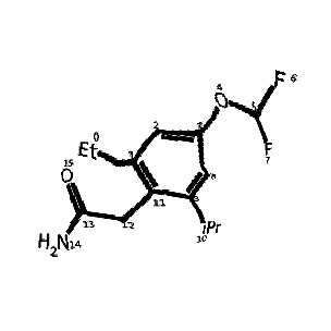 CCc1cc(OC(F)F)cc(C(C)C)c1CC(N)=O